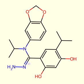 CC(C)c1cc(/C(=N/N)N(c2ccc3c(c2)OCO3)C(C)C)c(O)cc1O